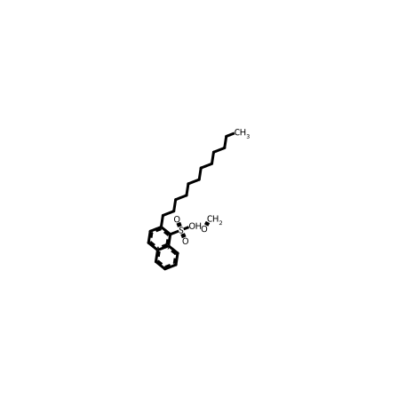 C=O.CCCCCCCCCCCCc1ccc2ccccc2c1S(=O)(=O)O